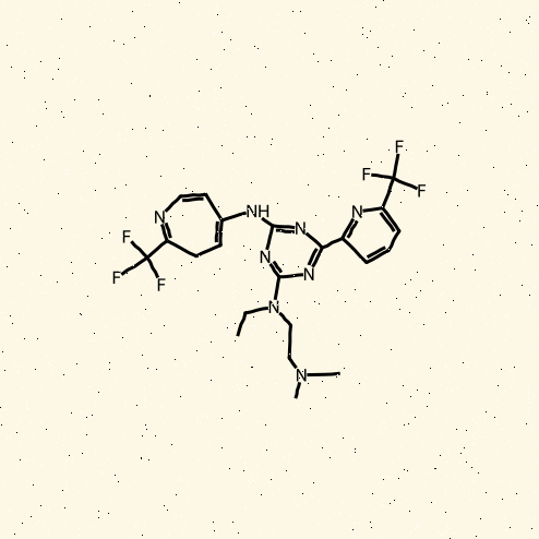 CCN(CCN(C)C)c1nc(NC2=CCC(C(F)(F)F)=NC=C2)nc(-c2cccc(C(F)(F)F)n2)n1